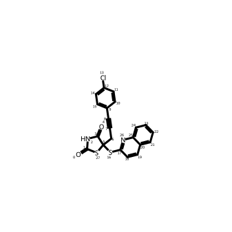 O=C1NC(=O)C(CC#Cc2ccc(Cl)cc2)(Sc2ccc3ccccc3n2)S1